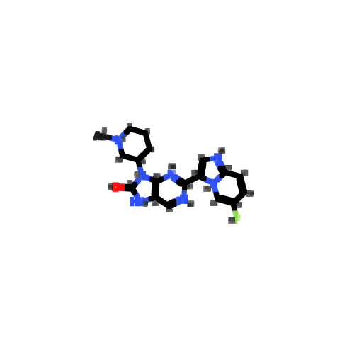 CC(=O)N1CCCC(n2c(=O)[nH]c3cnc(-c4cnc5ccc(F)cn45)nc32)C1